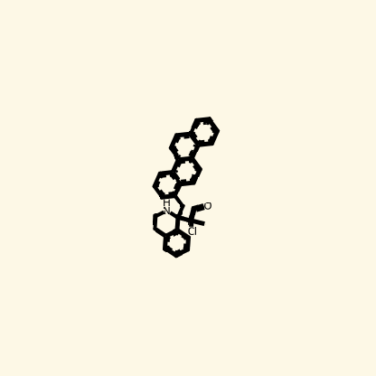 CC(Cl)(C=O)C1(Cc2cccc3c2ccc2c4ccccc4ccc32)NCCc2ccccc21